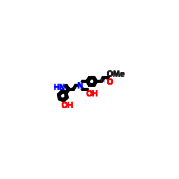 COC(=O)/C=C/c1ccc(CN(CCO)CCc2c[nH]c3ccc(O)cc23)cc1